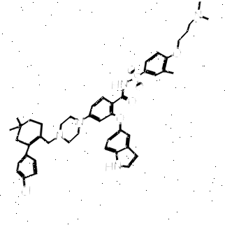 Cc1cc(S(=O)(=O)NC(=O)c2ccc(N3CCN(CC4=C(c5ccc(Cl)cc5)CC(C)(C)CC4)CC3)cc2Oc2ccc3[nH]ccc3c2)ccc1OCCCN(C)C